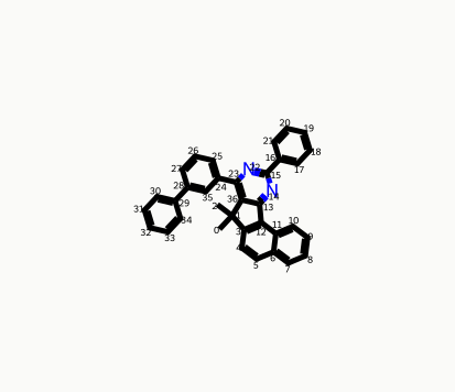 CC1(C)c2ccc3ccccc3c2-c2nc(-c3ccccc3)nc(-c3cccc(-c4ccccc4)c3)c21